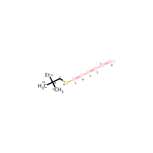 B=BB=BB=BSCC(C)(C)CC